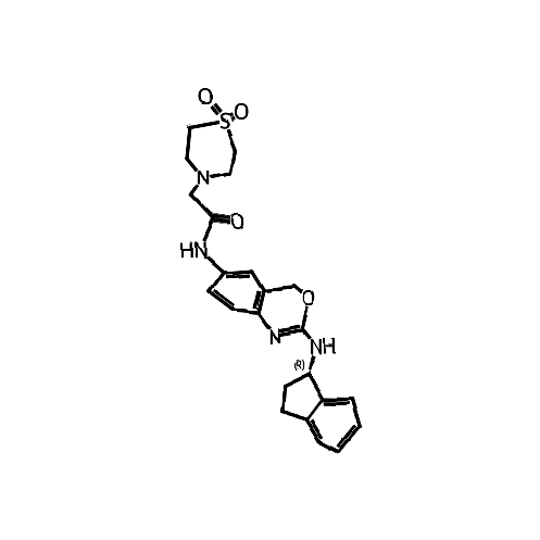 O=C(CN1CCS(=O)(=O)CC1)Nc1ccc2c(c1)COC(N[C@@H]1CCc3ccccc31)=N2